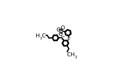 CCCc1ccc([I+]c2ccc(CCC)cc2)cc1.O=S(=O)([O-])c1cccc(F)c1